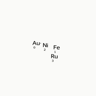 [Au].[Fe].[Ni].[Ru]